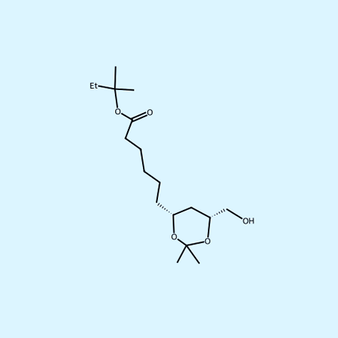 CCC(C)(C)OC(=O)CCCCC[C@@H]1C[C@H](CO)OC(C)(C)O1